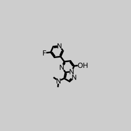 CN(C)c1cnn2c(O)cc(-c3cncc(F)c3)nc12